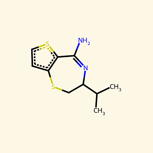 CC(C)C1CSc2ccsc2C(N)=N1